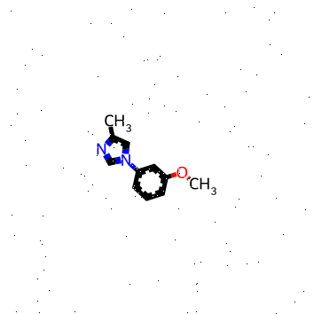 COc1cccc(-n2cnc(C)c2)c1